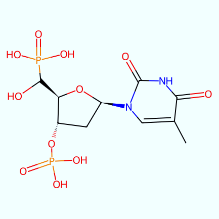 Cc1cn([C@H]2C[C@H](OP(=O)(O)O)[C@@H](C(O)P(=O)(O)O)O2)c(=O)[nH]c1=O